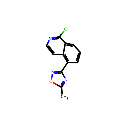 Cc1nc(-c2cccc3c(Cl)nccc23)no1